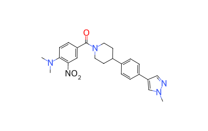 CN(C)c1ccc(C(=O)N2CCC(c3ccc(-c4cnn(C)c4)cc3)CC2)cc1[N+](=O)[O-]